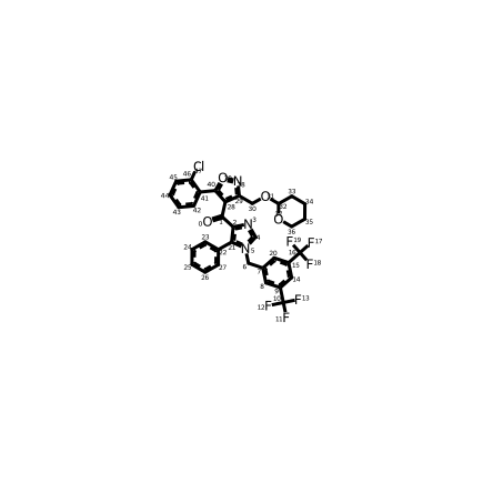 O=C(c1ncn(Cc2cc(C(F)(F)F)cc(C(F)(F)F)c2)c1-c1ccccc1)c1c(COC2CCCCO2)noc1-c1ccccc1Cl